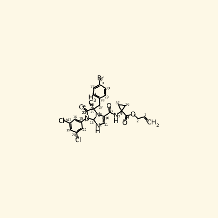 C=CCOC(=O)C1(NC(=O)C2=CNC3N(c4cc(Cl)cc(Cl)c4)C(=O)[C@@](C)(Cc4ccc(Br)cc4)N23)CC1